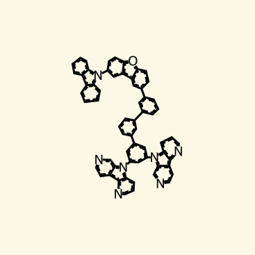 c1cc(-c2cccc(-c3ccc4oc5ccc(-n6c7ccccc7c7ccccc76)cc5c4c3)c2)cc(-c2cc(-n3c4cnccc4c4ncccc43)cc(-n3c4cnccc4c4ncccc43)c2)c1